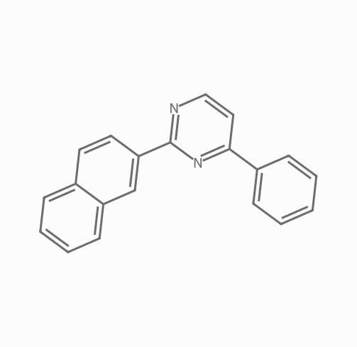 c1ccc(-c2ccnc(-c3ccc4ccccc4c3)n2)cc1